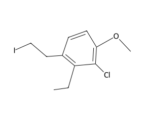 CCc1c(CCI)ccc(OC)c1Cl